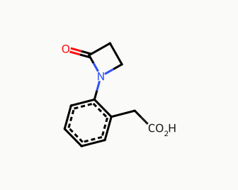 O=C(O)Cc1ccccc1N1CCC1=O